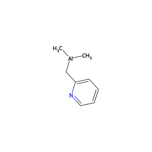 [CH3][Al]([CH3])[CH2]c1ccccn1